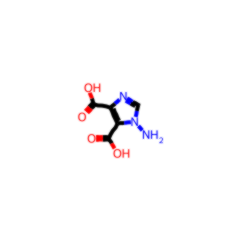 Nn1cnc(C(=O)O)c1C(=O)O